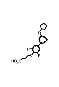 O=C(O)CCCSc1c(F)cc(-c2cccc(OC3CCCC3)c2)cc1F